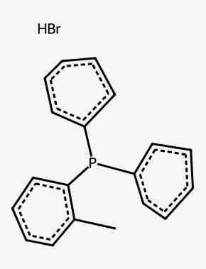 Br.Cc1ccccc1P(c1ccccc1)c1ccccc1